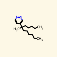 CCCCCCC(C)(CCCCC)c1ccnnc1